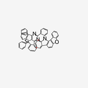 c1ccc(-c2nc(-c3ccccc3-n3c4ccccc4c4ccc5oc6ccccc6c5c43)nc3c2[Si](c2ccccc2)(c2ccccc2)c2ccccc2-3)cc1